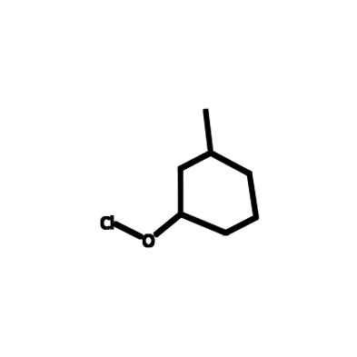 CC1CCCC(OCl)C1